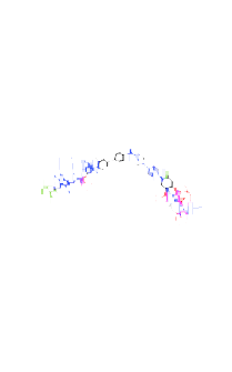 Cc1cc(-c2ccc(C(C)N3CCC(N4CCN(c5cc6c(cc5F)C(=O)N(C5CCC(=O)NC5=O)C6=O)CC4)CC3)cc2)ccc1-n1cc(C(=O)NCc2nc(C(C)(C)C(F)(F)F)n[nH]2)cn1